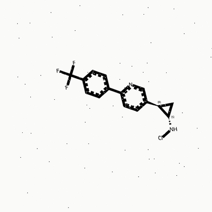 FC(F)(F)c1ccc(-c2ccc([C@H]3C[C@@H]3NCl)cn2)cc1